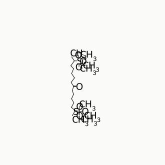 CCC(CCCCCC(=O)CCCCCC(CC)[Si](OC)(OC)OC)[Si](OC)(OC)OC